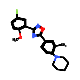 COc1ccc(F)cc1-c1noc(-c2ccc(N3CCCCC3)c(C)c2)n1